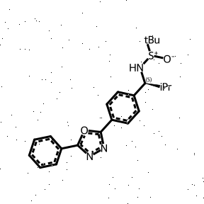 CC(C)[C@H](N[S+]([O-])C(C)(C)C)c1ccc(-c2nnc(-c3ccccc3)o2)cc1